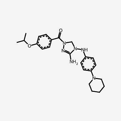 CC(C)Oc1ccc(C(=O)N2CN(Nc3ccc(N4CCCCC4)cc3)C(N)=N2)cc1